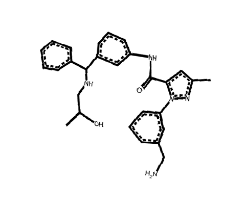 Cc1cc(C(=O)Nc2cccc(C(NCC(C)O)c3ccccc3)c2)n(-c2cccc(CN)c2)n1